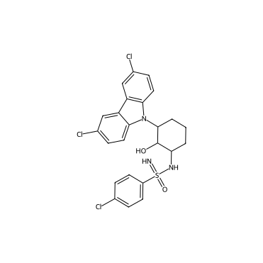 N=S(=O)(NC1CCCC(n2c3ccc(Cl)cc3c3cc(Cl)ccc32)C1O)c1ccc(Cl)cc1